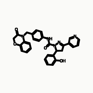 O=C1COc2ccccc2N1Cc1ccc(NC(=O)N2N=C(c3cccnc3)CC2c2ccccc2O)cc1